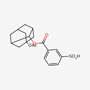 CC(=O)OC12CC3CC(C1)C(OC(=O)c1cccc(S(=O)(=O)O)c1)C(C3)C2